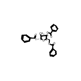 CC1[C@@H](OC(=O)c2ccccc2)O[C@H](COC(=O)c2ccccc2)[C@H]1OC(=O)c1ccccc1